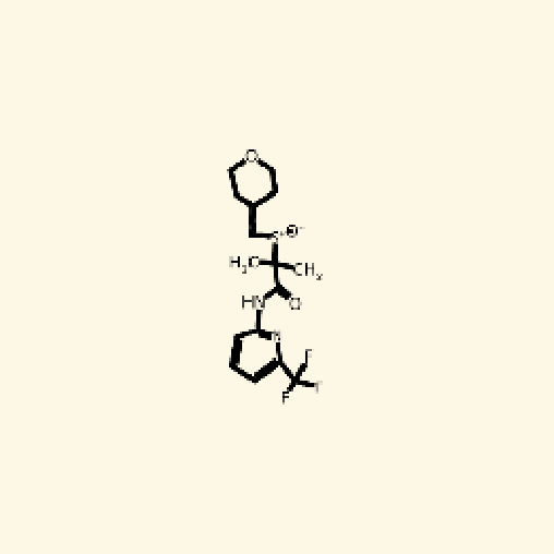 CC(C)(C(=O)Nc1cccc(C(F)(F)F)n1)[S@+]([O-])CC1CCOCC1